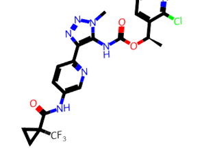 C[C@@H](OC(=O)Nc1c(-c2ccc(NC(=O)C3(C(F)(F)F)CC3)cn2)nnn1C)c1cccnc1Cl